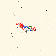 CC(C)c1ccc(C(Cc2ccc(C(=O)NCCS(=O)(=O)O)cc2)C(=O)Nc2ccc(-c3cc4ccccc4o3)cc2Cl)cc1